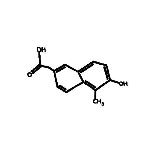 Cc1c(O)ccc2cc(C(=O)O)ccc12